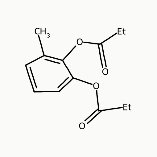 CCC(=O)Oc1cccc(C)c1OC(=O)CC